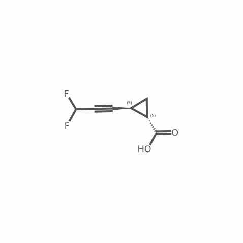 O=C(O)[C@H]1C[C@@H]1C#CC(F)F